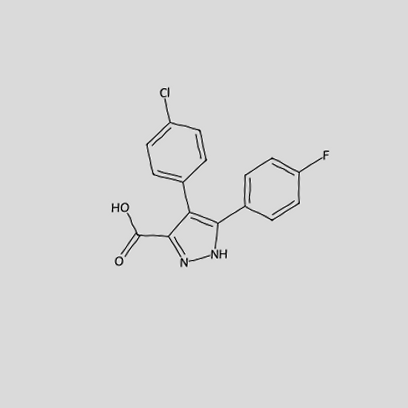 O=C(O)c1n[nH]c(-c2ccc(F)cc2)c1-c1ccc(Cl)cc1